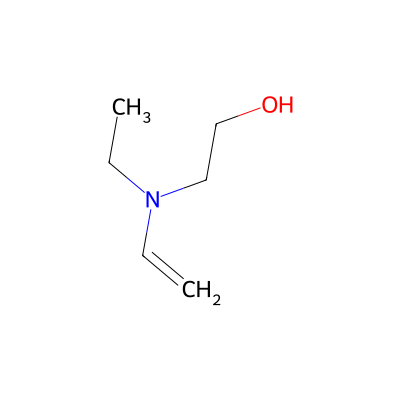 C=CN(CC)CCO